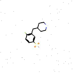 NS(=O)(=O)c1ccc(F)c(CC2CCNCC2)c1